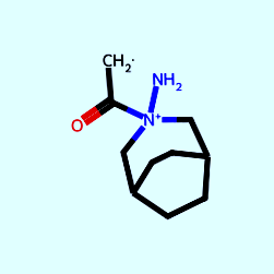 [CH2]C(=O)[N+]1(N)CC2CCC(CC2)C1